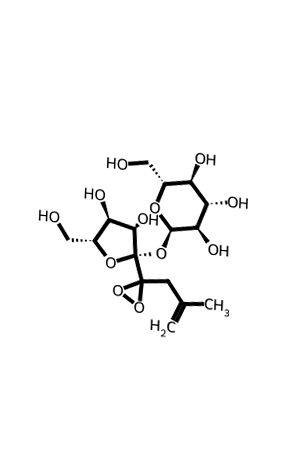 C=C(C)CC1([C@@]2(O[C@H]3O[C@H](CO)[C@@H](O)[C@H](O)[C@H]3O)O[C@H](CO)[C@@H](O)[C@@H]2O)OO1